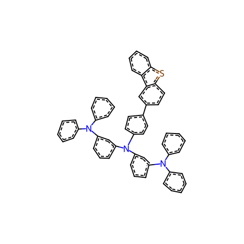 c1ccc(N(c2ccccc2)c2cccc(N(c3ccc(-c4ccc5sc6ccccc6c5c4)cc3)c3cccc(N(c4ccccc4)c4ccccc4)c3)c2)cc1